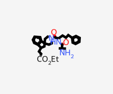 CCOC(=O)CCC1CC2(CCN(C(=O)C(CCCc3ccccc3)NC(=O)C(C)(C)N)CC2)c2ccccc21